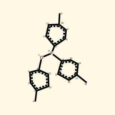 Cc1ccc(OP(c2ccc(C)cc2)c2ccc(C)cc2)cc1